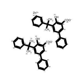 CC(C)(c1ccccc1)c1cc(-c2ccccc2)cc(C(=O)[O-])c1O.CC(C)(c1ccccc1)c1cc(-c2ccccc2)cc(C(=O)[O-])c1O.[Zn+2]